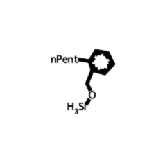 CCCCCc1ccccc1CO[SiH3]